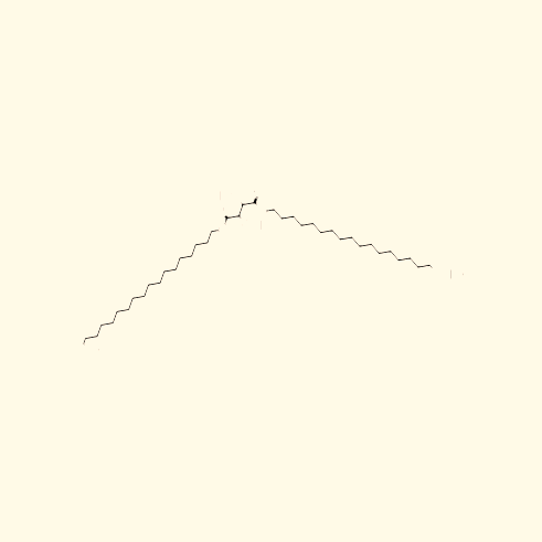 O=CCCCCCCCCCCCCCCCCCOC(=O)C(O)C(O)C(=O)OCCCCCCCCCCCCCCCCCC=O